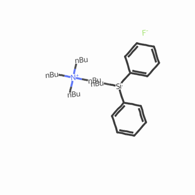 CCCC[N+](CCCC)(CCCC)CCCC.CCCC[Si](c1ccccc1)c1ccccc1.[F-]